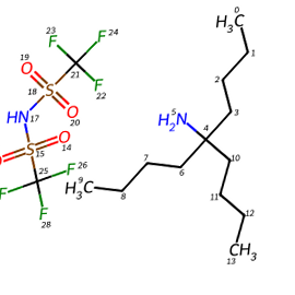 CCCCC(N)(CCCC)CCCC.O=S(=O)(NS(=O)(=O)C(F)(F)F)C(F)(F)F